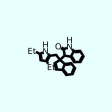 CCc1cc(CC)c(CC2(C3C(=O)Nc4ccccc43)C=Cc3ccccc32)[nH]1